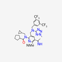 CNc1nc(N(CC2CC2)C(=O)C2CCCC2)c(CN(Cc2cc(C(F)(F)F)cc(C(F)(F)F)c2)c2nnn(C)n2)cc1C(C)=N